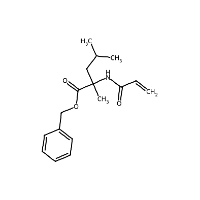 C=CC(=O)NC(C)(CC(C)C)C(=O)OCc1ccccc1